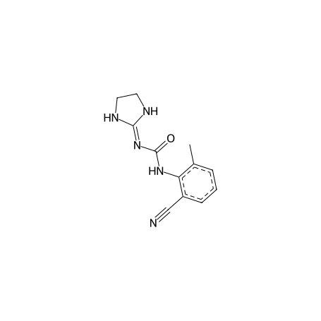 Cc1cccc(C#N)c1NC(=O)N=C1NCCN1